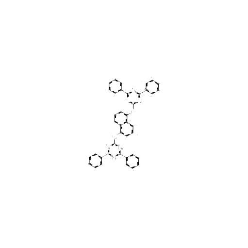 c1ccc(-c2nc(Oc3cccc4c(Oc5nc(-c6ccccc6)nc(-c6ccccc6)n5)cccc34)nc(-c3ccccc3)n2)cc1